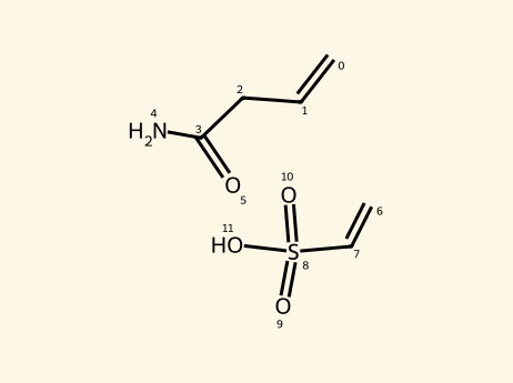 C=CCC(N)=O.C=CS(=O)(=O)O